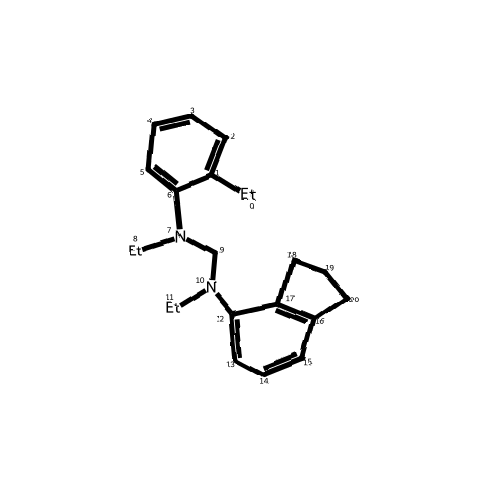 CCc1ccccc1N(CC)CN(CC)c1cccc2c1CCC2